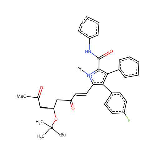 COC(=O)C[C@@H](CC(=O)/C=C/c1c(-c2ccc(F)cc2)c(-c2ccccc2)c(C(=O)Nc2ccccc2)n1C(C)C)O[Si](C)(C)C(C)(C)C